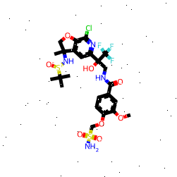 COc1cc(C(=O)NCC(O)(c2cc3c(c(Cl)n2)OCC3(C)N[S+]([O-])C(C)(C)C)C(F)(F)F)ccc1OCS(N)(=O)=O